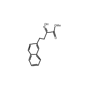 COC(=O)C(CCc1ccc2ccccc2c1)=NO